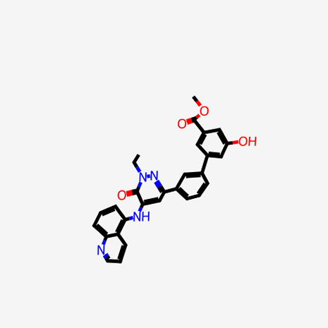 CCn1nc(-c2cccc(-c3cc(O)cc(C(=O)OC)c3)c2)cc(Nc2cccc3ncccc23)c1=O